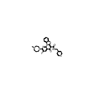 CN1CCCN(c2nc3c(cc2F)c(=O)c(C(=O)NCc2ccncc2)c2sc4ccccc4n23)CC1